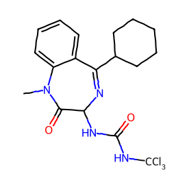 CN1C(=O)C(NC(=O)NC(Cl)(Cl)Cl)N=C(C2CCCCC2)c2ccccc21